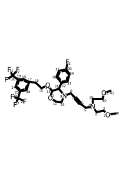 COCCN(CC#CCN1CCOC(OCCc2cc(C(F)(F)F)cc(C(F)(F)F)c2)C1c1ccc(F)cc1)CCOC